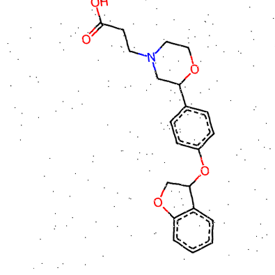 O=C(O)CCN1CCOC(c2ccc(OC3COc4ccccc43)cc2)C1